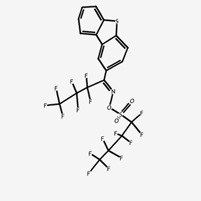 O=S(=O)(ON=C(c1ccc2sc3ccccc3c2c1)C(F)(F)C(F)(F)C(F)(F)F)C(F)(F)C(F)(F)C(F)(F)C(F)(F)F